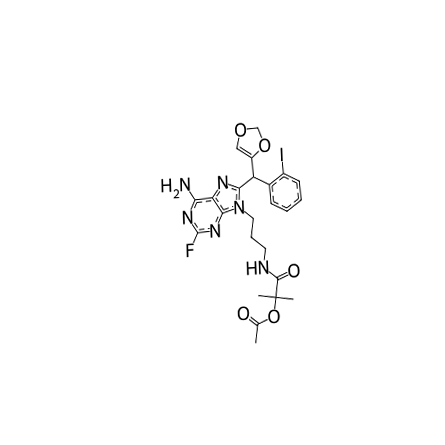 CC(=O)OC(C)(C)C(=O)NCCCn1c(C(C2=COCO2)c2ccccc2I)nc2c(N)nc(F)nc21